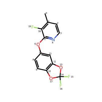 Cc1ccnc(Oc2ccc3c(c2)OC(F)(F)O3)c1F